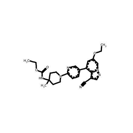 CCOC(=O)NC1(C)CCN(c2ccc(-c3cc(OCC)cn4ncc(C#N)c34)cn2)CC1